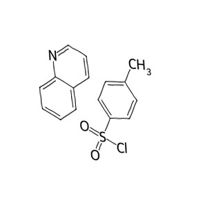 Cc1ccc(S(=O)(=O)Cl)cc1.c1ccc2ncccc2c1